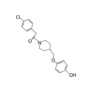 O=C(Cc1ccc(Cl)cc1)N1CCC(COc2ccc(O)cc2)CC1